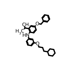 CC(C)c1cc(OCc2ccccc2)ccc1Nc1cccc(OCCCC2CCCCC2)c1